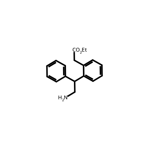 CCOC(=O)Cc1ccccc1C(CN)c1ccccc1